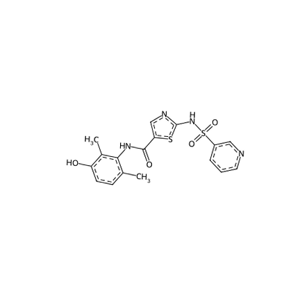 Cc1ccc(O)c(C)c1NC(=O)c1cnc(NS(=O)(=O)c2cccnc2)s1